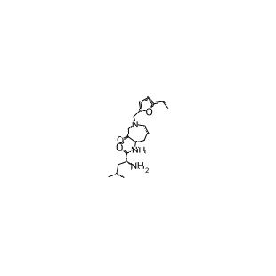 CCc1ccc(CN2CCCC(NC(=O)[C@@H](N)CC(C)C)C(=O)C2)o1